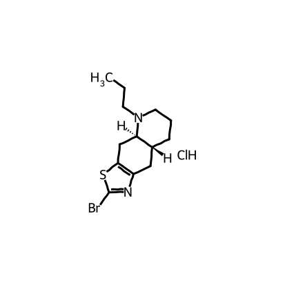 CCCN1CCC[C@@H]2Cc3nc(Br)sc3C[C@H]21.Cl